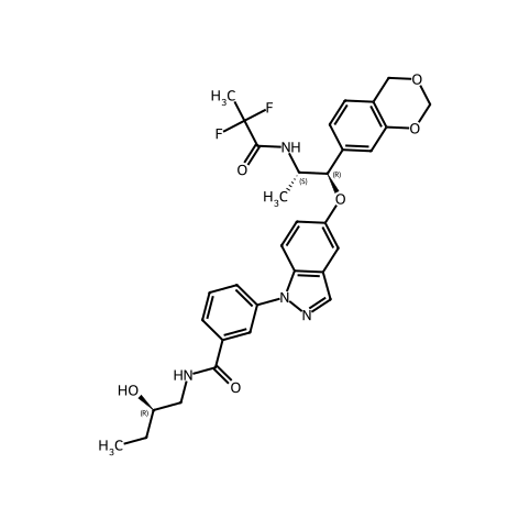 CC[C@@H](O)CNC(=O)c1cccc(-n2ncc3cc(O[C@H](c4ccc5c(c4)OCOC5)[C@H](C)NC(=O)C(C)(F)F)ccc32)c1